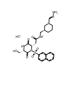 Cl.NN=CN1CCC[C@@H](CNC(=O)C[C@H]2C(=O)N[C@@H](CO)C(=O)N2S(=O)(=O)c2ccc3ccccc3c2)C1